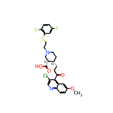 COc1ccc2ncc(Cl)c(C(=O)CC[C@H]3CCN(CCSc4cc(F)ccc4F)C[C@H]3C(=O)O)c2c1